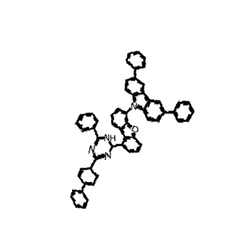 C1=CC(C2=NC(c3cccc4oc5c(-n6c7ccc(-c8ccccc8)cc7c7cc(-c8ccccc8)ccc76)cccc5c34)NC(c3ccccc3)=N2)CC=C1c1ccccc1